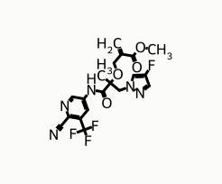 C=C(COC(C)(Cn1cc(F)cn1)C(=O)Nc1cnc(C#N)c(C(F)(F)F)c1)C(=O)OC